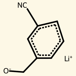 N#Cc1cccc(C[O-])c1.[Li+]